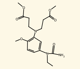 CCN(C(N)=O)c1ccc(OC)c(N(CCC(=O)OC)CCC(=O)OC)c1